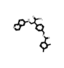 Cc1ccc(C(=O)OCc2ccc(C(CNc3ccc4cnccc4c3)C(N)=O)cc2)c(C)c1